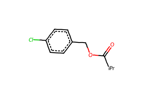 CC(C)C(=O)OCc1ccc(Cl)cc1